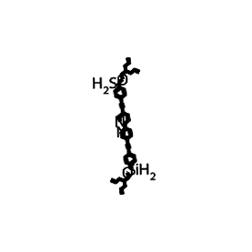 C=CCC(CC=C)CO[SiH2]c1ccc(C#Cc2ccc(-c3ccc(C#Cc4ccc([SiH2]OCC(CC=C)CC=C)cc4)cn3)nc2)cc1